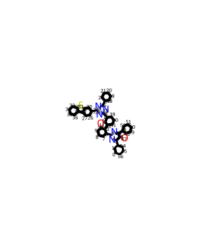 C1=CC(c2nc(-c3cccc4oc5c(-c6nc(-c7ccccc7)nc(-c7ccc8c(c7)sc7ccccc78)n6)cccc5c34)nc3c2oc2ccccc23)=CCC1